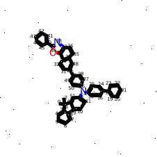 CC1(C)c2ccccc2-c2ccc(N(c3ccc(-c4ccccc4)cc3)c3ccc(-c4ccc5c(ccc6nc(-c7ccccc7)oc65)c4)cc3)cc21